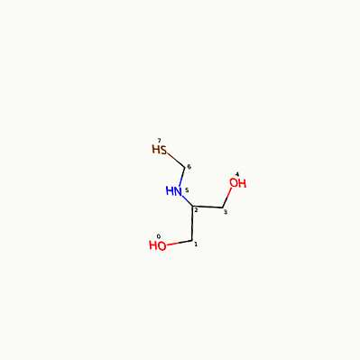 OCC(CO)NCS